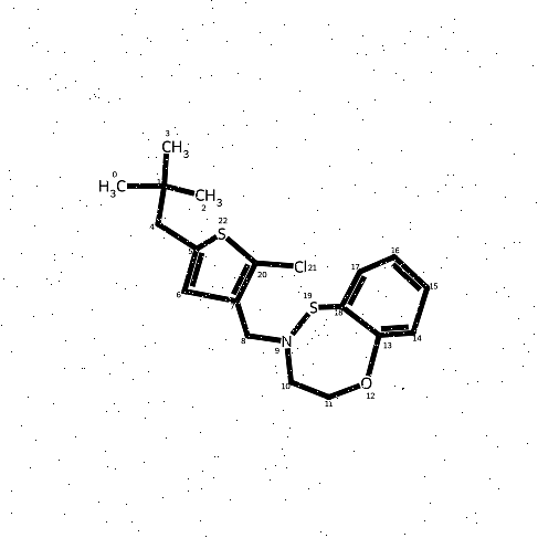 CC(C)(C)Cc1cc(CN2CCOc3ccccc3S2)c(Cl)s1